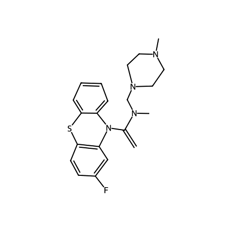 C=C(N(C)CN1CCN(C)CC1)N1c2ccccc2Sc2ccc(F)cc21